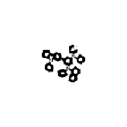 c1ccc(N(c2ccccc2)c2cc(-c3ccc4c5ccccc5n(-c5ccccc5)c4c3)cc(N(c3ccccc3)c3cccc4ccccc34)c2)cc1